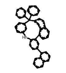 c1ccc(C2(c3ccccc3)c3cccc(c3)Nc3ccc(-c4cccc5ccccc45)cc3-c3cccc4ccc2cc34)cc1